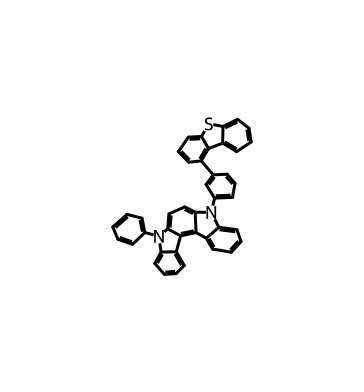 c1ccc(-n2c3ccccc3c3c4c5ccccc5n(-c5cccc(-c6cccc7sc8ccccc8c67)c5)c4ccc32)cc1